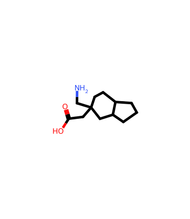 NCC1(CC(=O)O)CCC2CCCC2C1